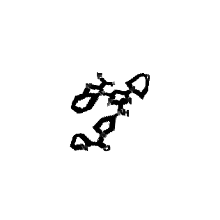 O=C(c1ccccn1)N1CC[C@H](Nc2nc(N3CCOCC3)cc(-n3c(C(F)F)nc4ccccc43)n2)C1